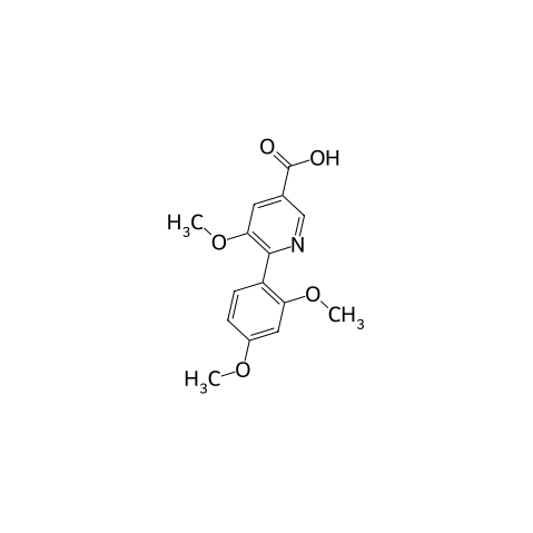 COc1ccc(-c2ncc(C(=O)O)cc2OC)c(OC)c1